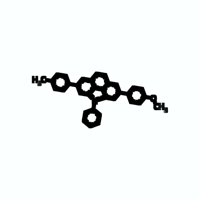 COc1ccc(-c2cc3ccc4cc(-c5ccc(C)cc5)cc5c4c3c(c2)n5-c2ccccc2)cc1